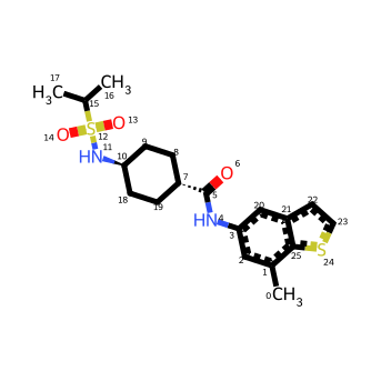 Cc1cc(NC(=O)[C@H]2CC[C@H](NS(=O)(=O)C(C)C)CC2)cc2ccsc12